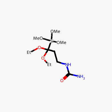 CCOC(CCNC(N)=O)(OCC)[Si](OC)(OC)OC